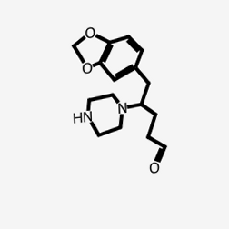 O=CCCC(Cc1ccc2c(c1)OCO2)N1CCNCC1